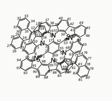 N#Cc1c(-n2c3ccccc3c3ccccc32)c(-n2c3cc(-c4cc5ccccc5c5ccccc45)ccc3c3ccc4c5ccccc5sc4c32)c(C#N)c(-n2c3ccccc3c3ccccc32)c1-n1c2cc(-c3cccc4ccccc34)ccc2c2ccc3c4ccccc4sc3c21